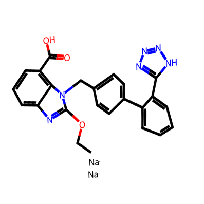 CCOc1nc2cccc(C(=O)O)c2n1Cc1ccc(-c2ccccc2-c2nnn[nH]2)cc1.[Na].[Na]